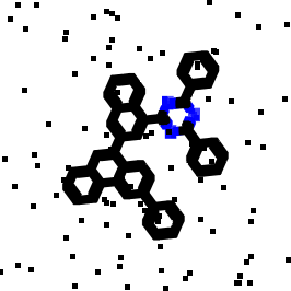 c1ccc(-c2ccc3c(-c4cc(-c5nc(-c6ccccc6)nc(-c6ccccc6)n5)c5ccccc5c4)cc4ccccc4c3c2)cc1